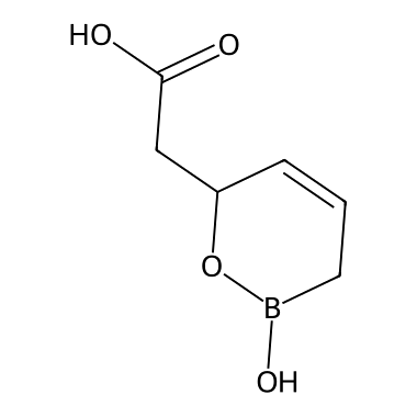 O=C(O)CC1C=CCB(O)O1